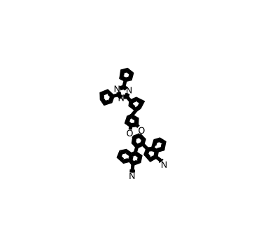 N#Cc1ccc(-c2cc3c(cc2-c2ccc(C#N)c4ccccc24)Oc2cc(-c4cccc(-c5nc(-c6ccccc6)nc(-c6ccccc6)n5)c4)ccc2O3)c2ccccc12